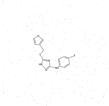 Fc1ccc(Nc2n[nH]c(SCc3ccoc3)n2)cc1